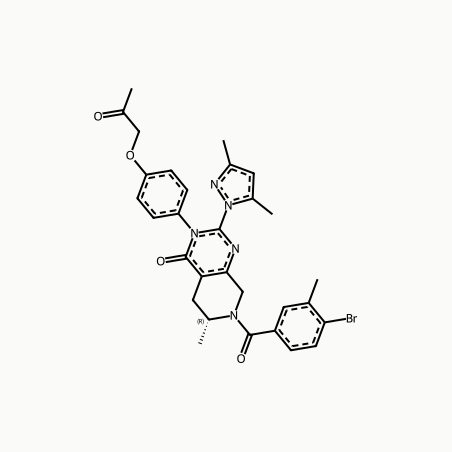 CC(=O)COc1ccc(-n2c(-n3nc(C)cc3C)nc3c(c2=O)C[C@@H](C)N(C(=O)c2ccc(Br)c(C)c2)C3)cc1